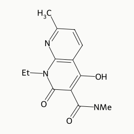 CCn1c(=O)c(C(=O)NC)c(O)c2ccc(C)nc21